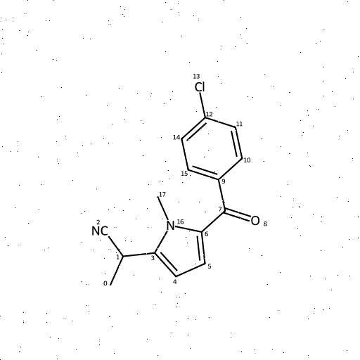 CC(C#N)c1ccc(C(=O)c2ccc(Cl)cc2)n1C